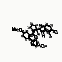 COc1ccc(-n2nccn2)c(C(=O)N2CCCC2(C)c2nc3ccc(Cl)c(C)c3[nH]2)c1.Cl